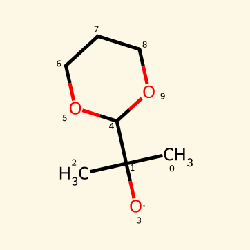 CC(C)([O])C1OCCCO1